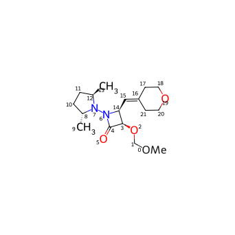 COCO[C@H]1C(=O)N(N2[C@H](C)CC[C@H]2C)[C@H]1C=C1CCOCC1